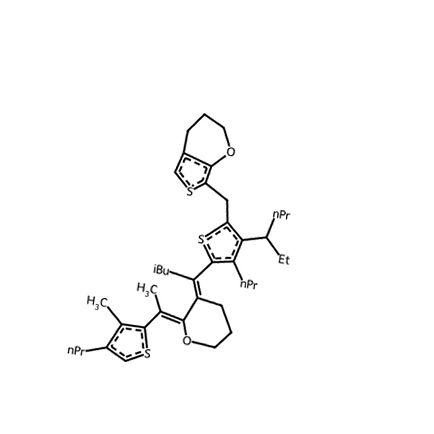 CCCc1csc(/C(C)=C2\OCCC\C2=C(/c2sc(Cc3scc4c3OCCC4)c(C(CC)CCC)c2CCC)C(C)CC)c1C